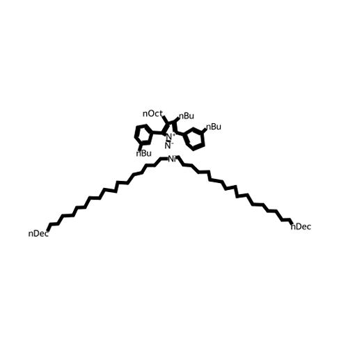 CCCCCCCCC1=C(c2cccc(CCCC)c2)[N+](=[N-])C(c2cccc(CCCC)c2)=C1CCCC.CCCCCCCCCCCCCCCCCCCCCCCCCC[CH2][Ni][CH2]CCCCCCCCCCCCCCCCCCCCCCCCCC